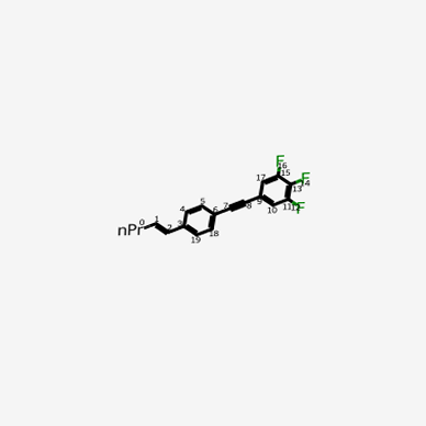 CCC/C=C/c1ccc(C#Cc2cc(F)c(F)c(F)c2)cc1